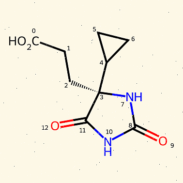 O=C(O)CC[C@]1(C2CC2)NC(=O)NC1=O